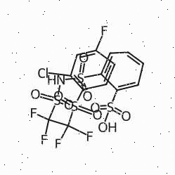 O=S(=O)(O)c1ccccc1S(=O)(=O)NS(=O)(=O)C(F)(F)C(F)(F)S(=O)(=O)c1ccc(F)cc1Cl